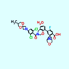 CC1COC2(CN(c3cc(Cl)c(C(=O)N4COc5c(cccc5-c5cc(N6C7CCC6COC7)c(C(=O)O)cc5F)C4)c(Cl)c3)C2)OC1.O